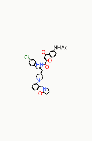 CC(=O)Nc1ccc2oc(C(=O)N[C@@H](C=C3CCN(c4ccccc4CN4CCCC4=O)CC3)Cc3ccc(Cl)cc3)cc(=O)c2c1